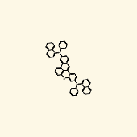 c1ccc(N(c2ccc3c(c2)Sc2cccc4c2c-3cc2ccc(N(c3ccccc3)c3cccc5ccccc35)cc24)c2cccc3ccccc23)cc1